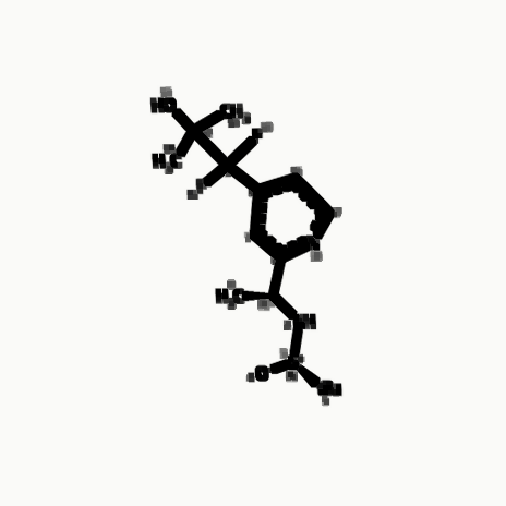 C[C@@H](N[S@+]([O-])C(C)(C)C)c1cc(C(F)(F)C(C)(C)O)ccn1